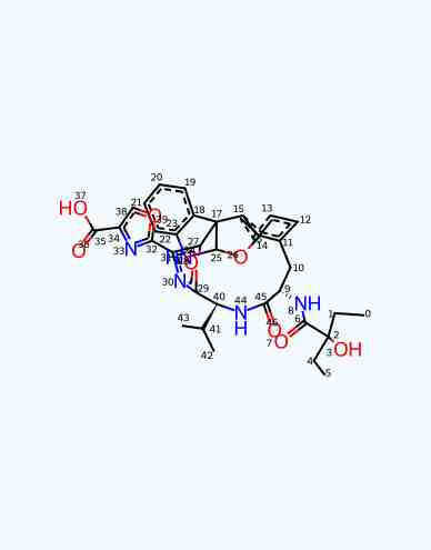 CCC(O)(CC)C(=O)N[C@H]1Cc2ccc3c(c2)C2(c4ccccc4NC2O3)c2oc(nc2-c2nc(C(=O)O)co2)[C@H](C(C)C)NC1=O